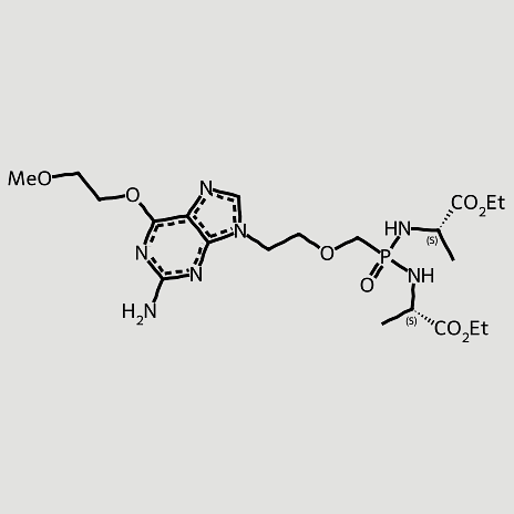 CCOC(=O)[C@H](C)NP(=O)(COCCn1cnc2c(OCCOC)nc(N)nc21)N[C@@H](C)C(=O)OCC